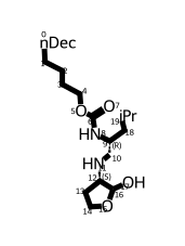 CCCCCCCCCCCCCCOC(=O)N[C@@H](CN[C@H]1CCOC1O)CC(C)C